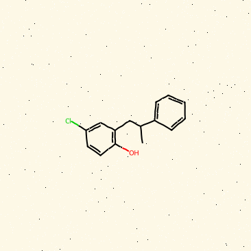 CC(Cc1cc(Cl)ccc1O)c1ccccc1